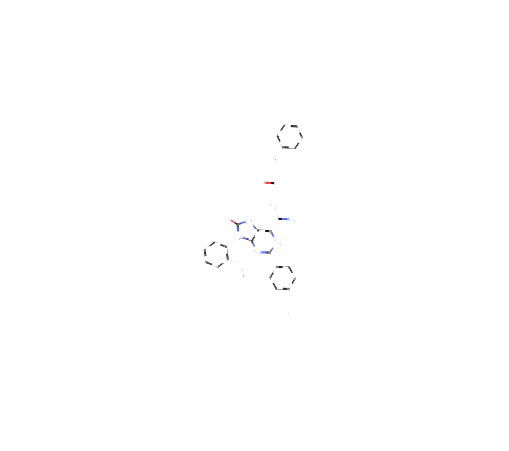 CCOc1ccc(-c2nc(C(=N)NOC(=O)OCc3ccccc3)c3[nH]c(=O)n(-c4ccccc4OC)c3n2)cc1